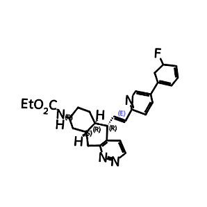 CCOC(=O)N[C@@H]1CC[C@@H]2[C@H](Cc3nnccc3[C@H]2/C=C/c2ccc(C3=CC=CC(F)C3)cn2)C1